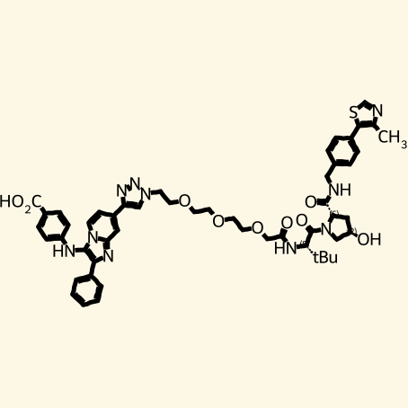 Cc1ncsc1-c1ccc(CNC(=O)[C@@H]2C[C@@H](O)CN2C(=O)[C@@H](NC(=O)COCCOCCOCCn2cc(-c3ccn4c(Nc5ccc(C(=O)O)cc5)c(-c5ccccc5)nc4c3)nn2)C(C)(C)C)cc1